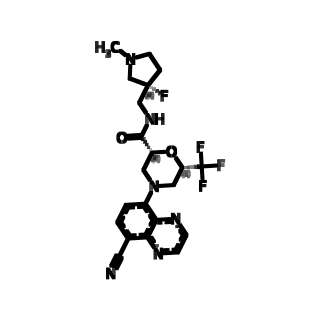 CN1CC[C@@](F)(CNC(=O)[C@H]2CN(c3ccc(C#N)c4nccnc34)C[C@@H](C(F)(F)F)O2)C1